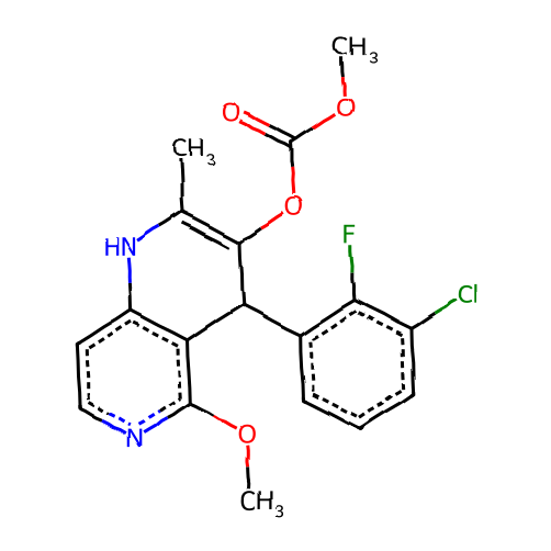 COC(=O)OC1=C(C)Nc2ccnc(OC)c2C1c1cccc(Cl)c1F